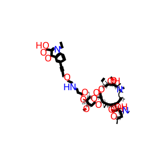 CC[C@H]1OC(=O)[C@H](C)[C@@H](OC2C[C@@](C)(OC)[C@@H](OC(=O)CCNCCOCC#Cc3ccc4c(c3)c(=O)c(C(=O)O)cn4CC)[C@H](C)O2)[C@H](C)[C@@H](OC2O[C@H](C)C[C@H](N(C)C)[C@H]2O)[C@](C)(O)C[C@@H](C)CN(C)[C@H](C)[C@@H](OC)[C@]1(C)O